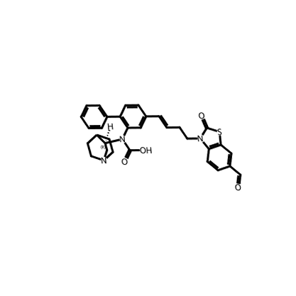 O=Cc1ccc2c(c1)sc(=O)n2CCC=Cc1ccc(-c2ccccc2)c(N(C(=O)O)[C@H]2CN3CCC2CC3)c1